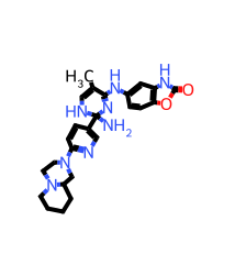 CC1=CNC(N)(c2ccc(N3CCN4CCCCC4C3)nc2)N=C1Nc1ccc2oc(=O)[nH]c2c1